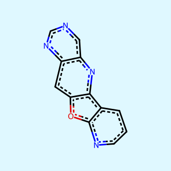 c1cnc2oc3cc4ncncc4nc3c2c1